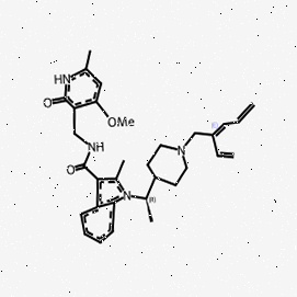 C=C/C=C(\C=C)CN1CCC([C@@H](C)n2c(C)c(C(=O)NCc3c(OC)cc(C)[nH]c3=O)c3ccccc32)CC1